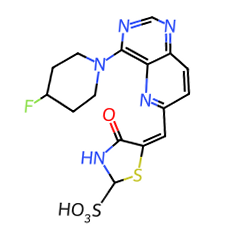 O=C1NC(S(=O)(=O)O)SC1=Cc1ccc2ncnc(N3CCC(F)CC3)c2n1